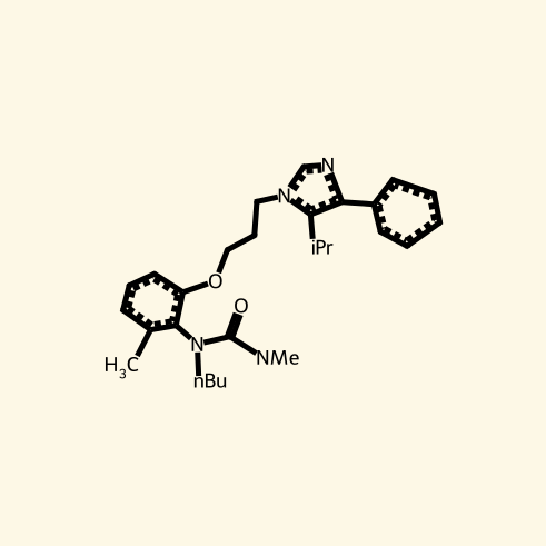 CCCCN(C(=O)NC)c1c(C)cccc1OCCCn1cnc(-c2ccccc2)c1C(C)C